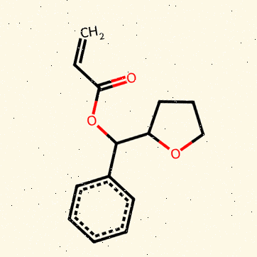 C=CC(=O)OC(c1ccccc1)C1CCCO1